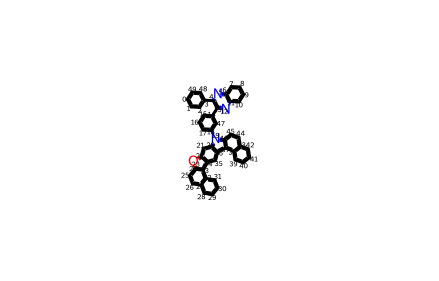 c1ccc(-c2nc3ccccc3nc2-c2cccc(-n3c4cc5oc6ccc7ccccc7c6c5cc4c4c5ccccc5ccc43)c2)cc1